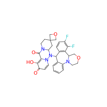 O=C1c2c(O)c(=O)ccn2N(C2c3ccccc3N3CCOCC3c3c2ccc(F)c3F)C2CC3(CCN12)COC3